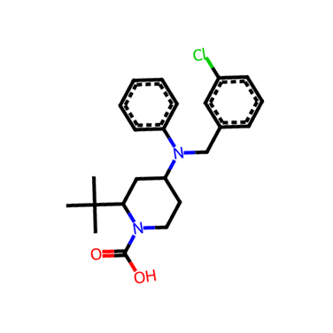 CC(C)(C)C1CC(N(Cc2cccc(Cl)c2)c2ccccc2)CCN1C(=O)O